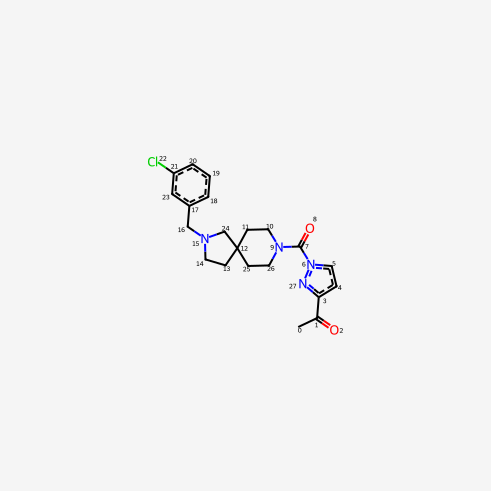 CC(=O)c1ccn(C(=O)N2CCC3(CCN(Cc4cccc(Cl)c4)C3)CC2)n1